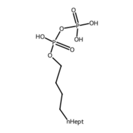 CCCCCCCCCCCOP(=O)(O)OP(=O)(O)O